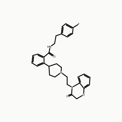 O=C(NCCc1ccc(F)cc1)c1ccccc1C1CCN(CCN2C(=O)COc3ccccc32)CC1